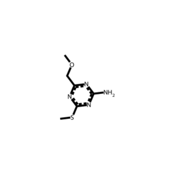 COCc1nc(N)nc(SC)n1